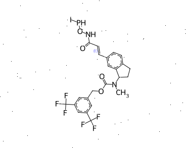 CN(C(=O)OCc1cc(C(F)(F)F)cc(C(F)(F)F)c1)C1CCc2ccc(/C=C/C(=O)NOPI)cc21